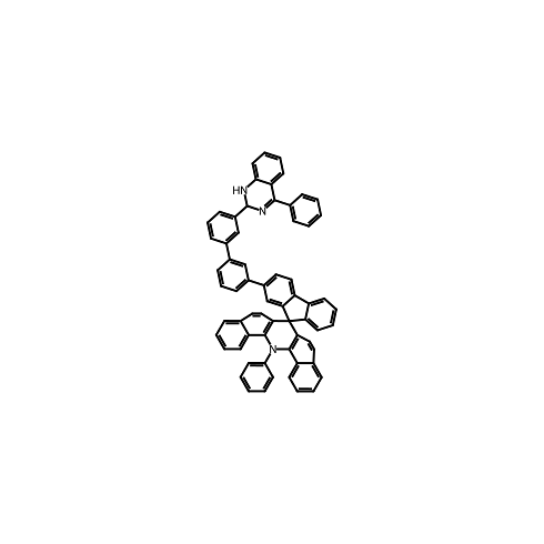 c1ccc(C2=NC(c3cccc(-c4cccc(-c5ccc6c(c5)C5(c7ccccc7-6)c6ccc7ccccc7c6N(c6ccccc6)c6c5ccc5ccccc65)c4)c3)Nc3ccccc32)cc1